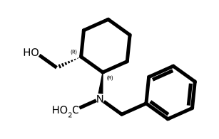 O=C(O)N(Cc1ccccc1)[C@@H]1CCCC[C@H]1CO